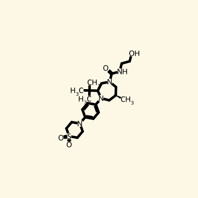 C[C@@H]1CN(C(=O)NCCO)CC(C(C)(C)C)N(c2ccc(N3CCS(=O)(=O)CC3)cc2)C1